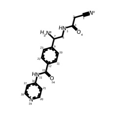 N#CCC(=O)NCC(N)c1ccc(C(=O)Nc2ccncc2)cc1